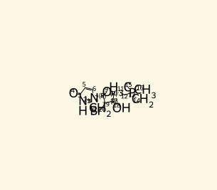 C=C1NC(=O)C=CN1[C@@H]1O[C@H](CCP(=C)(C)C)[C@@H](O)C1Br